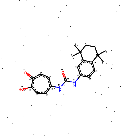 CC1(C)CCC(C)(C)c2cc(NC(=O)Nc3ccc(O)c(=O)cc3)ccc21